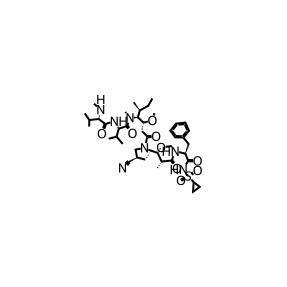 CC[C@H](C)[C@@H]([C@@H](CC(=O)N1C[C@H](C#N)C[C@H]1[C@H](OC)[C@@H](C)C(=O)N[C@@H](Cc1ccccc1)C(=O)NS(=O)(=O)C1CC1)OC)N(C)C(=O)[C@@H](NC(=O)[C@@H](NC)C(C)C)C(C)C